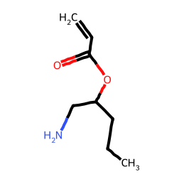 C=CC(=O)OC(CN)CCC